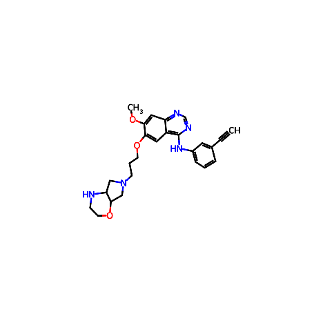 C#Cc1cccc(Nc2ncnc3cc(OC)c(OCCCN4CC5NCCOC5C4)cc23)c1